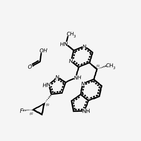 CNc1ncc([C@H](C)c2ccc3[nH]ccc3n2)c(Nc2cc([C@@H]3C[C@@H]3F)[nH]n2)n1.O=CO